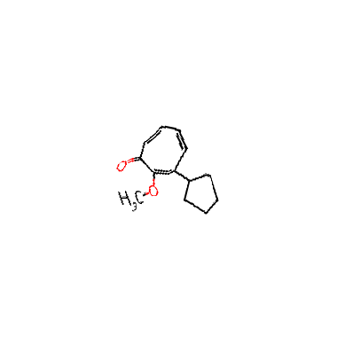 COc1c(C2CCCC2)ccccc1=O